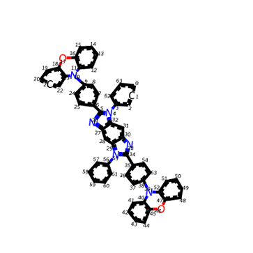 c1ccc(-n2c(-c3ccc(N4c5ccccc5Oc5ccccc54)cc3)nc3cc4c(cc32)nc(-c2ccc(N3c5ccccc5Oc5ccccc53)cc2)n4-c2ccccc2)cc1